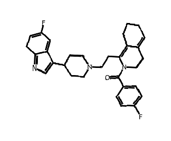 O=C(c1ccc(F)cc1)N1CCC2=CCCCC2=C1CCN1CCC(C2=CN=C3CC=C(F)C=C23)CC1